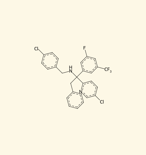 Fc1cc(C(F)(F)F)cc(C(Cc2ccccc2)(NCc2ccc(Cl)cc2)c2ccc(Cl)cn2)c1